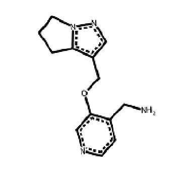 NCc1ccncc1OCc1cnn2c1CCC2